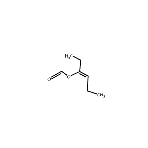 CCC=C(CC)O[C]=O